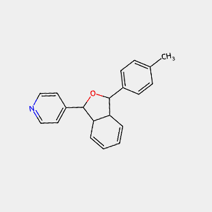 Cc1ccc(C2OC(c3ccncc3)C3C=CC=CC23)cc1